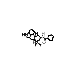 CCCN1C[C@@H](NC(=O)c2ccccc2)C[C@@H]2c3cccc4[nH]cc(c34)C[C@H]21